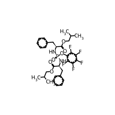 CC(C)COC(=O)[C@H](Cc1ccccc1)NP(=O)(N[C@@H](Cc1ccccc1)C(=O)OCC(C)C)Oc1c(F)c(F)c(F)c(F)c1F